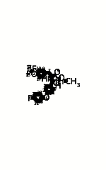 CCONC(=O)C(Cc1ccc(OC(F)(F)F)cc1)NC(=O)c1ccc(Oc2ccc(F)cc2)cc1